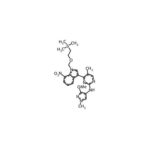 COc1nn(C)cc1Nc1ncc(C)c(-c2cn(COCCS(C)(C)C)c3c([N+](=O)[O-])cccc23)n1